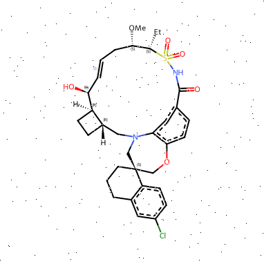 CC[C@H]1[C@@H](OC)C/C=C/[C@H](O)[C@@H]2CC[C@H]2CN2C[C@@]3(CCCc4cc(Cl)ccc43)COc3ccc(cc32)C(=O)NS1(=O)=O